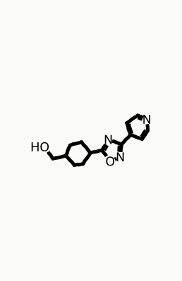 OCC1CCC(c2nc(-c3ccncc3)no2)CC1